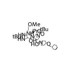 COCCCNC1N[C@H](C(C)(C)C)NCC1C(O)N(CC(C)C)[C@H]1C[C@@H](C(O)N2CCC(OC[C@@H]3CC=CCC3)CC2)CN(C(=O)OC(C)(C)C)C1